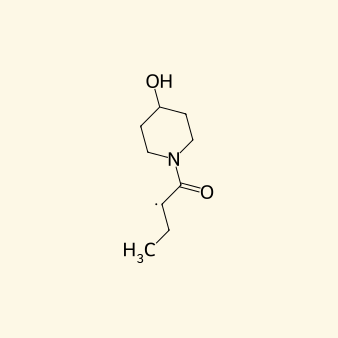 CC[CH]C(=O)N1CCC(O)CC1